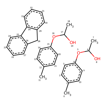 Cc1ccc(OC(C)O)cc1.Cc1ccc(OC(C)O)cc1.c1ccc2c(c1)Cc1ccccc1-2